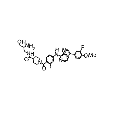 COc1ccc(-c2cnc3c(Nc4ccc(C(=O)N5CCC(C(=O)NCC(N)CO)CC5)c(C)c4)nccn23)cc1F